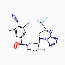 Cc1cc(C(=O)N2CC[C@@H](C)[C@H](c3cc(C(F)F)nc4ncnn34)C2)cc(C)c1C#N